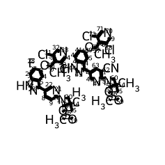 C[C@@H](Oc1cc2c(-c3ccc(N4CC(C)(CS(C)(=O)=O)C4)nc3)n[nH]c2cc1F)c1c(Cl)cncc1Cl.C[C@@H](Oc1ccc2[nH]nc(-c3cnc(N4CC(C)(CS(C)(=O)=O)C4)c(C#N)c3)c2c1)c1c(Cl)cncc1Cl